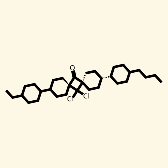 CCCCC1CCC([C@H]2CC[C@@]3(CC2)C(=O)[C@]2(CCC(C4CCC(CC)CC4)CC2)C3(Cl)Cl)CC1